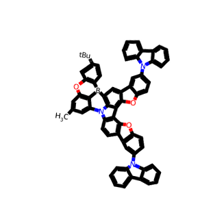 Cc1cc2c3c(c1)-n1c4ccc5c6cc(-n7c8ccccc8c8ccccc87)ccc6oc5c4c4c5oc6ccc(-n7c8ccccc8c8ccccc87)cc6c5cc(c41)B3c1ccc(C(C)(C)C)cc1O2